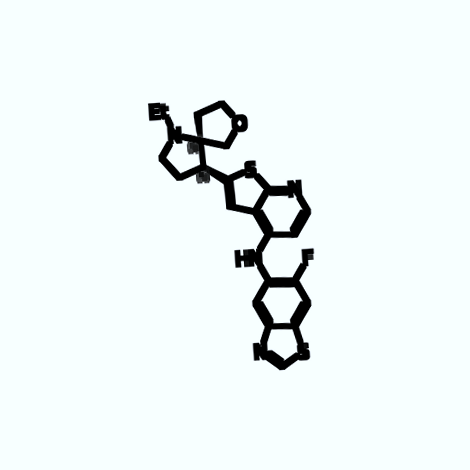 CCN1CC[C@H](c2cc3c(Nc4cc5ncsc5cc4F)ccnc3s2)[C@]12CCOC2